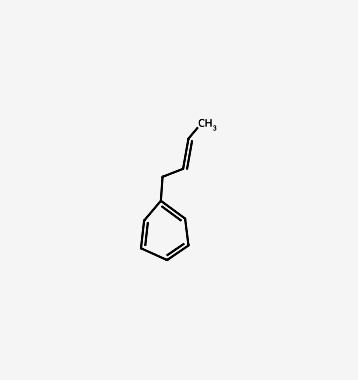 C/C=C/Cc1ccccc1